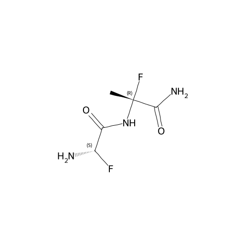 C[C@](F)(NC(=O)[C@@H](N)F)C(N)=O